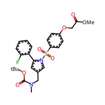 COC(=O)COc1ccc(S(=O)(=O)n2cc(CN(C)C(=O)OC(C)(C)C)cc2-c2ccccc2F)cc1